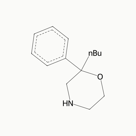 CCCCC1(c2ccccc2)CNCCO1